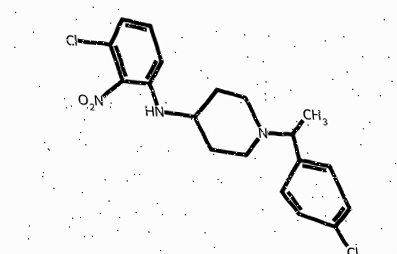 CC(c1ccc(Cl)cc1)N1CCC(Nc2cccc(Cl)c2[N+](=O)[O-])CC1